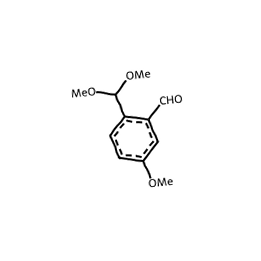 COc1ccc(C(OC)OC)c(C=O)c1